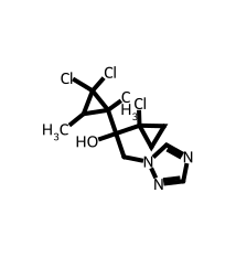 CC1C(Cl)(Cl)C1(C)C(O)(Cn1cncn1)C1(Cl)CC1